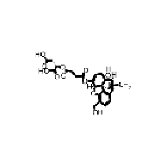 CN1CC[C@]23c4c5ccc(CO)c4O[C@H]2C(OC(=O)CCC(=O)O[C@@H](CC(=O)O)C(=O)O)=CC[C@@]3(O)[C@H]1C5